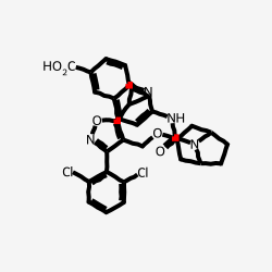 O=C(O)c1ccc2nc(NC(=O)N3C4CCC3CC(OCc3c(-c5c(Cl)cccc5Cl)noc3C3CC3)C4)ccc2c1